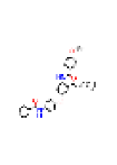 CC(C)Oc1ccc(C(=O)Nc2ccc(Oc3ccc(NC(=O)c4ccccc4)cc3)cc2C=CC(=O)O)cc1